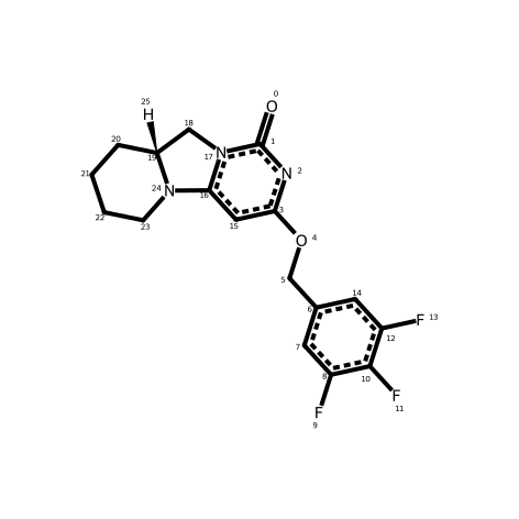 O=c1nc(OCc2cc(F)c(F)c(F)c2)cc2n1C[C@H]1CCCCN21